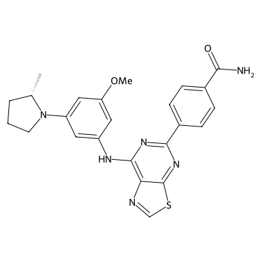 COc1cc(Nc2nc(-c3ccc(C(N)=O)cc3)nc3scnc23)cc(N2CCC[C@@H]2C)c1